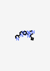 N[N+]12C=CN=CC1=C(C1=CC=C1)N=C2c1ccc2ccc(-c3cccnc3)nc2c1